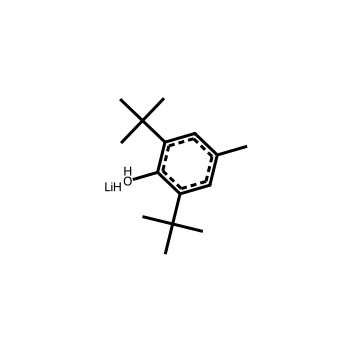 Cc1cc(C(C)(C)C)c(O)c(C(C)(C)C)c1.[LiH]